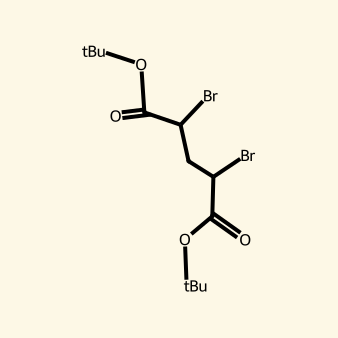 CC(C)(C)OC(=O)C(Br)CC(Br)C(=O)OC(C)(C)C